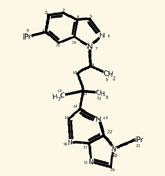 CC(C)c1ccc2cnn(C(C)CC(C)(C)c3cnc4ncn(C(C)C)c4n3)c2c1